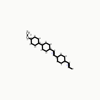 C/C=C/C1CCC(/C=C/C2CCC(C3CCC(OC(F)(F)F)CC3)CC2)CC1